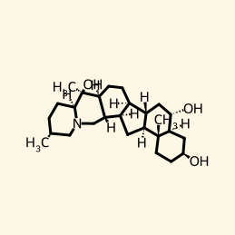 C[C@@H]1CC[C@@H]2N(C1)C[C@H]1[C@@H]3C[C@H]4[C@@H](C[C@H](O)[C@H]5C[C@@H](O)CC[C@@]54C)[C@@H]3CC[C@@H]1[C@]2(C)O